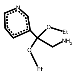 CCOC(CN)(OCC)c1cccnc1